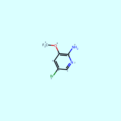 Nc1ncc(Br)cc1OC(F)(F)F